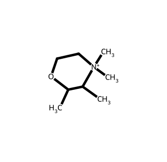 CC1OCC[N+](C)(C)C1C